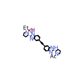 CCC(=O)N1CCC[C@H]1c1nc2cc(C#Cc3ccc4nc([C@@H]5CCCN5C(C)=O)[nH]c4c3)ccc2[nH]1